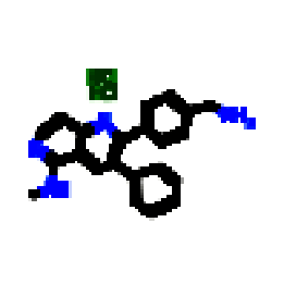 CNc1nccc2nc(-c3ccc(CN)cc3)c(-c3ccccc3)cc12.Cl.Cl